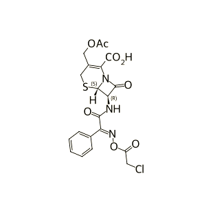 CC(=O)OCC1=C(C(=O)O)N2C(=O)[C@@H](NC(=O)C(=NOC(=O)CCl)c3ccccc3)[C@@H]2SC1